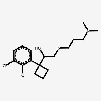 CN(C)CCCSCC(O)C1(c2cccc(Cl)c2Cl)CCC1